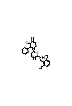 O=C1NCCN(c2ccnc(NCc3c(Cl)cccc3Cl)n2)C1c1ccccc1